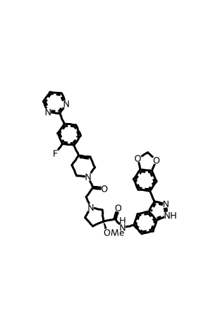 CO[C@@]1(C(=O)Nc2ccc3[nH]nc(-c4ccc5c(c4)OCO5)c3c2)CCN(CC(=O)N2CC=C(c3ccc(-c4ncccn4)cc3F)CC2)C1